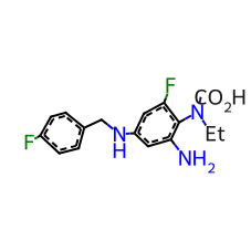 CCN(C(=O)O)c1c(N)cc(NCc2ccc(F)cc2)cc1F